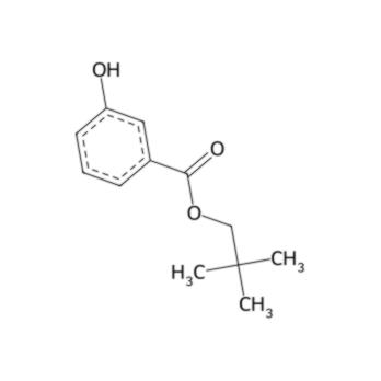 CC(C)(C)COC(=O)c1cccc(O)c1